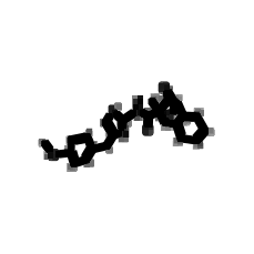 COc1ccc(Cc2csc(NC(=O)C3(C)CC4C(=O)NC3c3ccccc34)n2)cc1